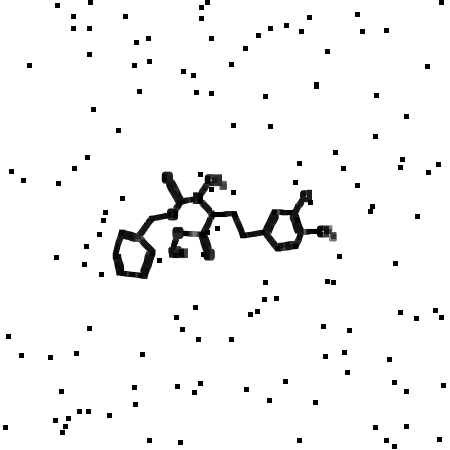 CN(C(=O)OCc1ccccc1)C(CCc1ccc(C(F)(F)F)c(Cl)c1)C(=O)OC(C)(C)C